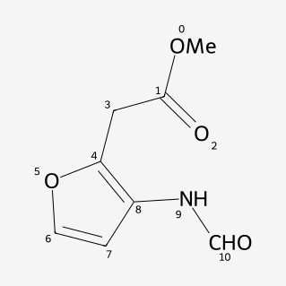 COC(=O)Cc1occc1NC=O